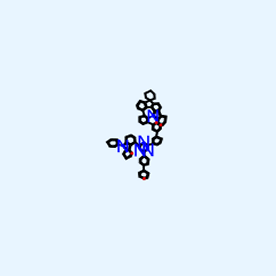 c1ccc(-c2ccc(-c3nc(-c4cccc(-c5cccc(-c6cccc7c6-n6c8ccccc8c8ccc9c(c86)-c6c-7cccc6C96CCCCC6)c5)c4)nc(-c4cccc5c4c4ccccc4n5-c4ccccc4)n3)cc2)cc1